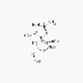 CCCCOP(N[PH](N=[PH](N)N)(OCCCC)OCCCC)OCCCC